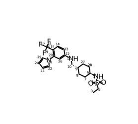 CCS(=O)(=O)N[C@H]1CC[C@H](CNc2ccc(C(F)(F)F)c(-n3cccc3)c2)CC1